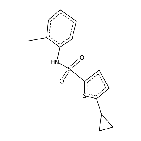 Cc1ccccc1NS(=O)(=O)c1ccc(C2CC2)s1